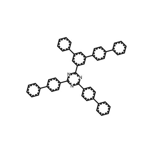 c1ccc(-c2ccc(-c3cc(-c4ccccc4)cc(-c4nc(-c5ccc(-c6ccccc6)cc5)nc(-c5ccc(-c6ccccc6)cc5)n4)c3)cc2)cc1